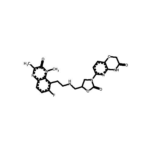 Cc1nc2ccc(F)c(CCNCC3CN(c4ccc5c(n4)NC(=O)CO5)C(=O)O3)c2n(C)c1=O